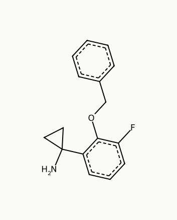 NC1(c2cccc(F)c2OCc2ccccc2)CC1